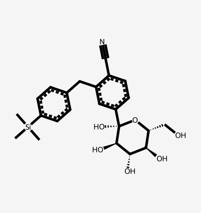 C[Si](C)(C)c1ccc(Cc2cc([C@@]3(O)O[C@H](CO)[C@@H](O)[C@H](O)[C@H]3O)ccc2C#N)cc1